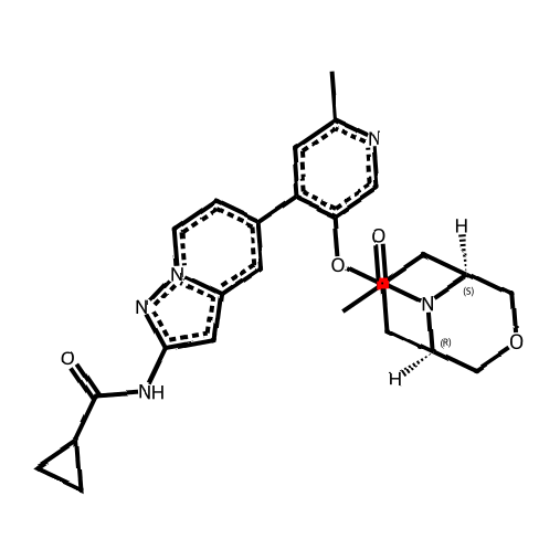 CC(=O)N1[C@@H]2COC[C@H]1CC(Oc1cnc(C)cc1-c1ccn3nc(NC(=O)C4CC4)cc3c1)C2